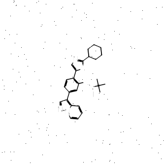 CC(C)(C)NSc1cc(-c2cnn3ccccc23)ccc1-c1cnc(C2CCCCC2)s1